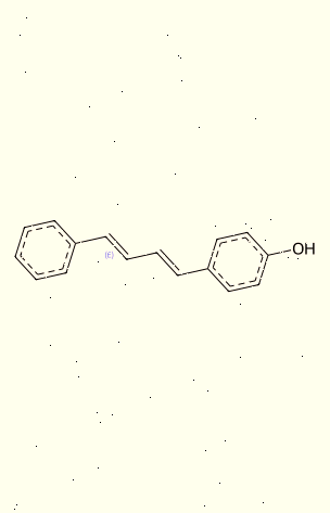 Oc1ccc(C=C/C=C/c2ccccc2)cc1